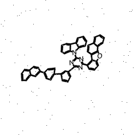 c1cc(-c2ccc(-c3ccc4ccccc4c3)cc2)cc(-c2nc(-c3cccc4oc5c6ccccc6ccc5c34)nc(-n3c4ccccc4c4ccccc43)n2)c1